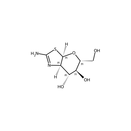 NC1=N[C@@H]2[C@@H](O)[C@H](O)[C@@H](CO)O[C@@H]2S1